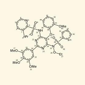 CCCc1cccnc1S(=O)(=O)Nc1nc(-c2cc(OC)c(OC)c(OC)c2)nc(N(OCC)S(=O)(=O)c2cccs2)c1Oc1ccccc1OC